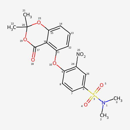 CN(C)S(=O)(=O)c1ccc(Oc2cccc3c2C(=O)OC(C)(C)O3)c([N+](=O)[O-])c1